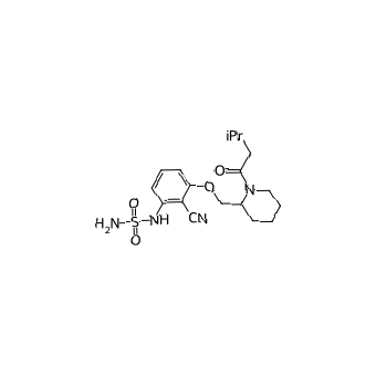 CC(C)CC(=O)N1CCCCC1COc1cccc(NS(N)(=O)=O)c1C#N